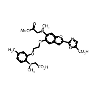 COC(=O)CN(C)c1cc2oc(-c3ncc(C(=O)O)o3)cc2cc1OCCOc1cc(C)ccc1N(C)CC(=O)O